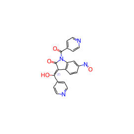 O=Nc1ccc2c(c1)N(C(=O)c1ccncc1)C(=O)/C2=C(\O)c1ccncc1